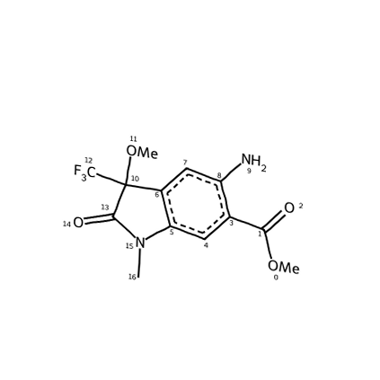 COC(=O)c1cc2c(cc1N)C(OC)(C(F)(F)F)C(=O)N2C